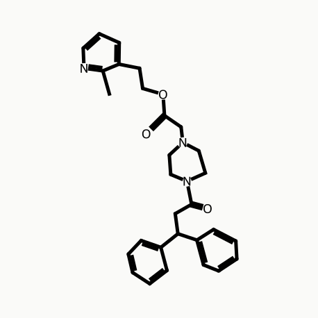 Cc1ncccc1CCOC(=O)CN1CCN(C(=O)CC(c2ccccc2)c2ccccc2)CC1